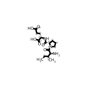 CC[C@H](C)[C@H](N)C(=O)N1CCC[C@H]1C(=O)N[C@@H](CCC(=O)O)C(=O)O